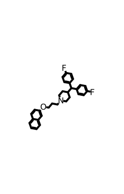 Fc1ccc(C(c2ccc(F)cc2)C2CCN(CCCOc3ccc4ccccc4c3)CC2)cc1